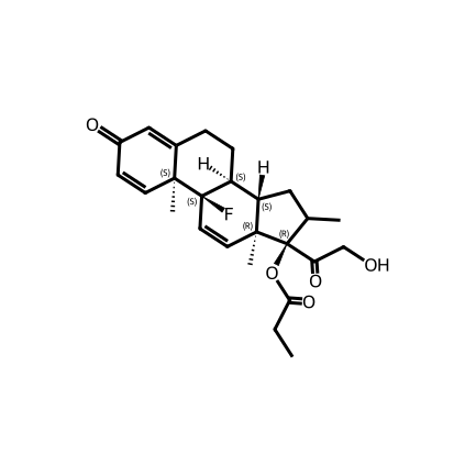 CCC(=O)O[C@]1(C(=O)CO)C(C)C[C@H]2[C@@H]3CCC4=CC(=O)C=C[C@]4(C)[C@@]3(F)C=C[C@@]21C